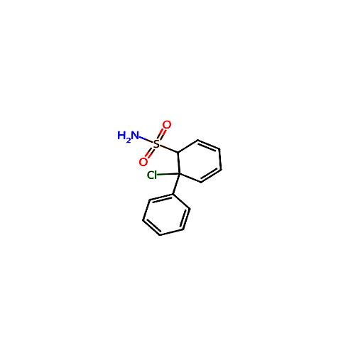 NS(=O)(=O)C1C=CC=CC1(Cl)c1ccccc1